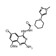 COc1cc(Cl)cc2c(NNC(=O)[C@H]3CCCN(c4cnn(C)c4)C3)nc(N)nc12